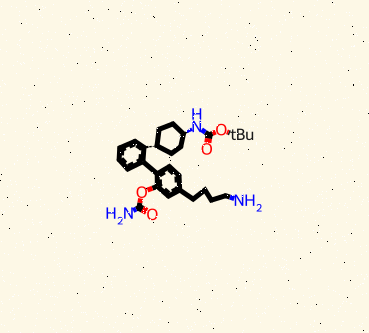 CC(C)(C)OC(=O)N[C@H]1CC[C@H](c2ccccc2-c2ccc(CCCCN)cc2OC(N)=O)CC1